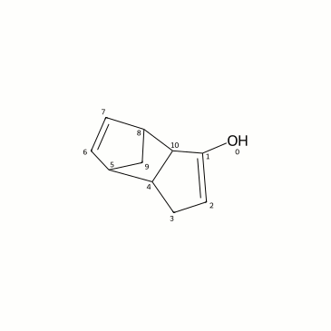 OC1=CCC2C3C=CC(C3)C12